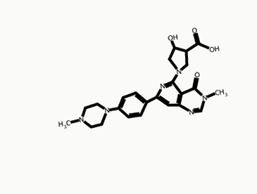 CN1CCN(c2ccc(-c3cc4ncn(C)c(=O)c4c(N4CC(O)C(C(=O)O)C4)n3)cc2)CC1